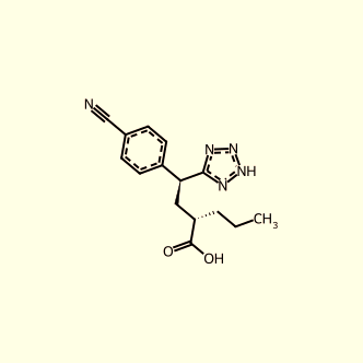 CCC[C@@H](C[C@@H](c1ccc(C#N)cc1)c1nn[nH]n1)C(=O)O